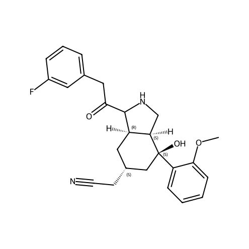 COc1ccccc1[C@]1(O)C[C@H](CC#N)C[C@H]2C(C(=O)Cc3cccc(F)c3)NC[C@H]21